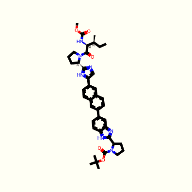 CC[C@H](C)[C@H](NC(=O)OC)C(=O)N1CCC[C@H]1c1ncc(-c2ccc3cc(-c4ccc5[nH]c(C6CCCN6C(=O)OC(C)(C)C)nc5c4)ccc3c2)[nH]1